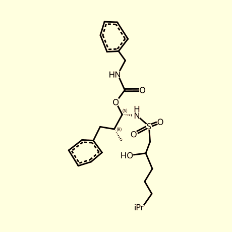 CC(C)CCCC(O)CS(=O)(=O)N[C@@H](OC(=O)NCc1ccccc1)[C@H](C)Cc1ccccc1